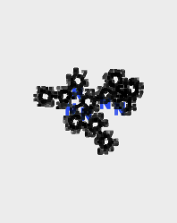 N#Cc1c(-n2c3ccccc3c3cc(-c4ccccc4)ccc32)cc(-c2ccc3c(n2)-c2ncccc2[Si]32c3ccccc3-c3ccccc32)cc1-n1c2ccccc2c2cc(-c3ccccc3)ccc21